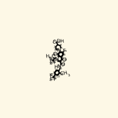 COc1c(N2CCC(C(=O)O)CC2)c(F)cc2c(=O)c(C(=O)NCc3ccc(C(F)(F)F)cc3C)cn(CC(F)(F)F)c12